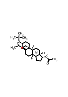 CC(=O)OC[C@]12CC[C@H](O[Si](C)(C)C)C=C1CC[C@@H]1[C@@H]2CC[C@]2(C)[C@@H](OC(C)=O)CC[C@@H]12